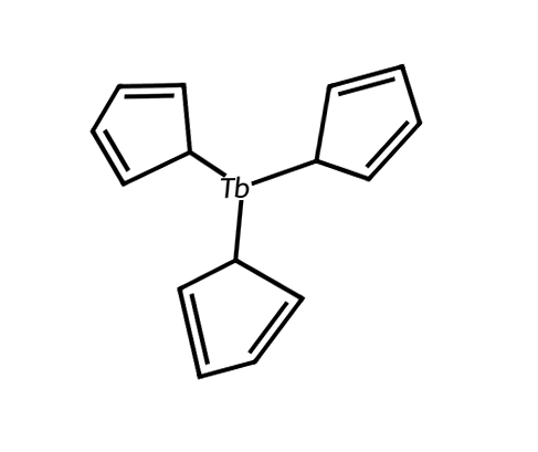 C1=C[CH]([Tb]([CH]2C=CC=C2)[CH]2C=CC=C2)C=C1